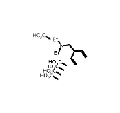 C=CC(C=C)CN(CC)CC.CC(=O)O.CC(=O)O.CC(=O)O.CC(=O)O.CC(=O)O